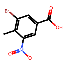 Cc1c(Br)cc(C(=O)O)cc1[N+](=O)[O-]